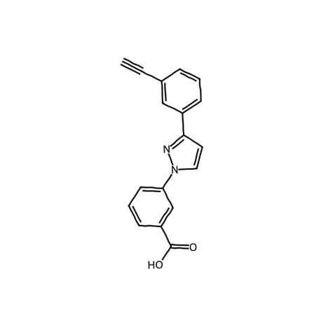 C#Cc1cccc(-c2ccn(-c3cccc(C(=O)O)c3)n2)c1